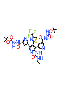 CCNC(=O)Nc1ncc(-c2cncc(C(=O)NNC(=O)OC(C)(C)C)c2)c(-c2nc(C(F)(F)F)cs2)c1-c1cncc(C(=O)NNC(=O)OC(C)(C)C)c1